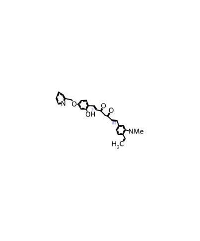 C=Cc1ccc(/C=C/C(=O)CC(=O)/C=C/c2ccc(OCc3ccccn3)cc2O)cc1NC